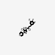 O=C(CCc1cc(F)c(F)c(F)c1)Nc1cnn(-c2ccncc2)c1Cl